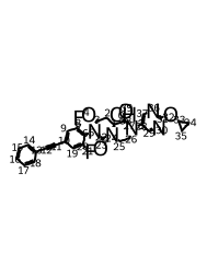 C[C@@]12CC(=O)N(c3c(F)cc(C#Cc4ccccc4)cc3F)C(=O)N1CCN(c1cnc(OC3CC3)nc1)C2=O